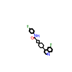 O=C(Nc1ccc(F)cc1)C1CC2(CCC(c3ccnc4ccc(F)cc34)CC2)C1